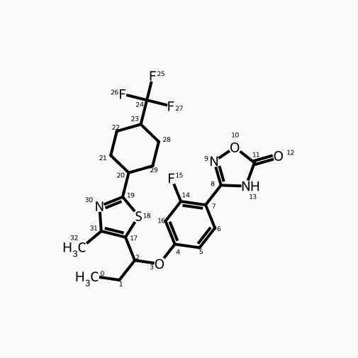 CCC(Oc1ccc(-c2noc(=O)[nH]2)c(F)c1)c1sc(C2CCC(C(F)(F)F)CC2)nc1C